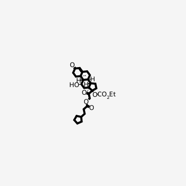 CCOC(=O)O[C@]1(C(=O)COC(=O)CCC2CCCC2)CC[C@H]2[C@@H]3CCC4=CC(=O)CC[C@]4(C)[C@H]3[C@@H](O)C[C@@]21C